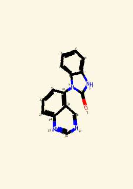 O=c1[nH]c2ccccc2n1-c1cccc2ncncc12